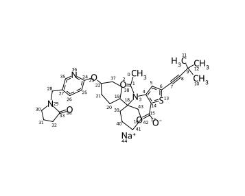 CC(=O)N(c1cc(C#CC(C)(C)C)sc1C(=O)[O-])C1(C2CCC(Oc3ccc(CN4CCCC4=O)cn3)CC2)CCCCC1.[Na+]